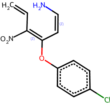 C=C/C(=C(\C=C/N)Oc1ccc(Cl)cc1)[N+](=O)[O-]